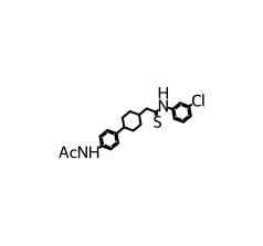 CC(=O)Nc1ccc(C2CCC(CC(=S)Nc3cccc(Cl)c3)CC2)cc1